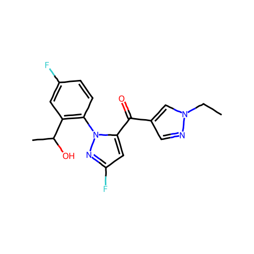 CCn1cc(C(=O)c2cc(F)nn2-c2ccc(F)cc2C(C)O)cn1